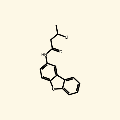 CC(Cl)CC(=O)Nc1ccc2oc3ccccc3c2c1